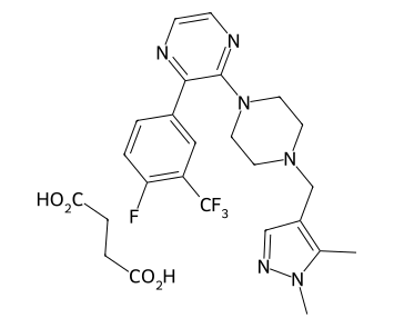 Cc1c(CN2CCN(c3nccnc3-c3ccc(F)c(C(F)(F)F)c3)CC2)cnn1C.O=C(O)CCC(=O)O